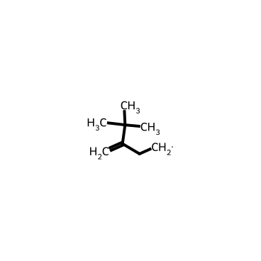 [CH2]CC(=C)C(C)(C)C